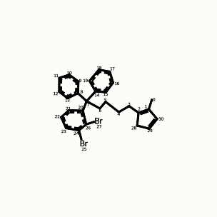 CC1=C(CCCCC(c2ccccc2)(c2ccccc2)c2cccc(Br)c2Br)CC=C1